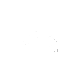 O=Cc1cccc(Oc2ccc(Cl)nc2)c1